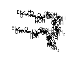 CCC(=O)SCCNC(=O)CCNC(=O)C(O)C(C)(C)COP(=O)(O)OP(=O)(O)OC[C@H]1O[C@@H](n2cnc3c(N)ncnc32)[C@H](O)[C@@H]1OP(=O)(O)O.CCC(=O)SCCNC(=O)CCNC(=O)C(O)C(C)(C)COP(=O)(O)OP(=O)(O)OC[C@H]1O[C@@H](n2cnc3c(N)ncnc32)[C@H](O)[C@@H]1OP(=O)(O)O